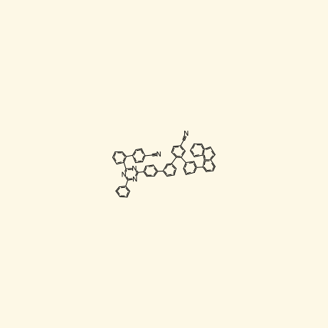 N#Cc1ccc(-c2ccccc2-c2nc(-c3ccccc3)nc(-c3ccc(-c4cccc(-c5ccc(C#N)cc5-c5cccc(-c6cccc7ccc8ccccc8c67)c5)c4)cc3)n2)cc1